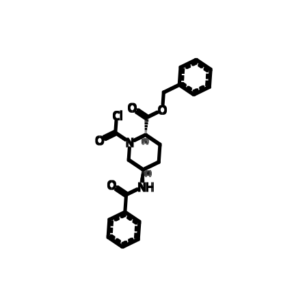 O=C(N[C@@H]1CC[C@@H](C(=O)OCc2ccccc2)N(C(=O)Cl)C1)c1ccccc1